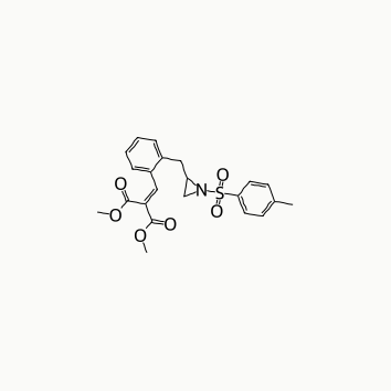 COC(=O)C(=Cc1ccccc1CC1CN1S(=O)(=O)c1ccc(C)cc1)C(=O)OC